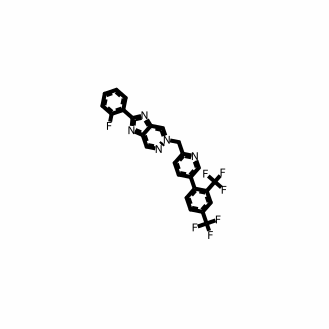 Fc1ccccc1-c1nc2cnn(Cc3ccc(-c4ccc(C(F)(F)F)cc4C(F)(F)F)cn3)cc-2n1